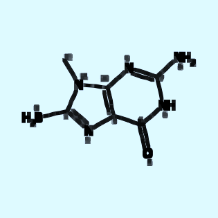 Bc1nc2c(=O)[nH]c(N)nc2n1C